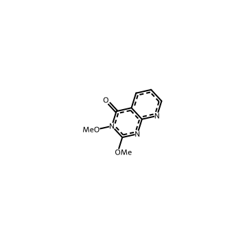 COc1nc2ncccc2c(=O)n1OC